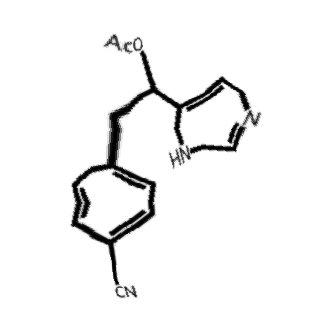 CC(=O)OC(Cc1ccc(C#N)cc1)c1cnc[nH]1